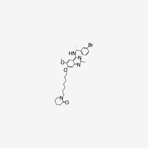 COc1cc2c(N[C@H](C)c3cccc(Br)c3)nc(C)nc2cc1OCCCCCCCN1CCCCC1=O